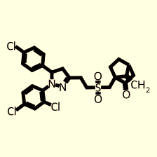 C=C1C2CCC1(CS(=O)(=O)CCC1=NN(c3ccc(Cl)cc3Cl)C(c3ccc(Cl)cc3)C1)C(=O)C2